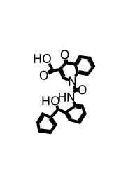 O=C(O)c1cn(C(=O)Nc2ccccc2C(O)c2ccccc2)c2ccccc2c1=O